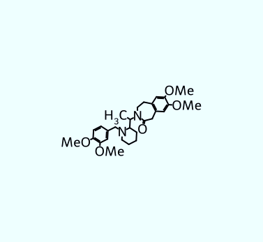 COc1ccc(CN2CCCCC2C(C)N2CCc3cc(OC)c(OC)cc3CC2=O)cc1OC